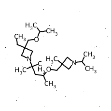 CCC1(COC(C)C)CN(C(C)(C)CC(C)OCC2(C)CN(C(C)C)C2)C1